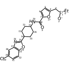 CC[S+]([O-])Cc1ccc(C(=O)NC2CCC(c3nc4cc(Cl)ccc4o3)CC2)o1